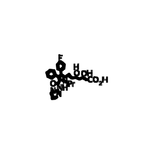 CC(C)n1c(C=C[C@@H](O)C[C@@H](O)CC(=O)O)c(-c2ccc(F)cc2)c(-c2ccccc2)c1C(=O)Nc1ncccn1